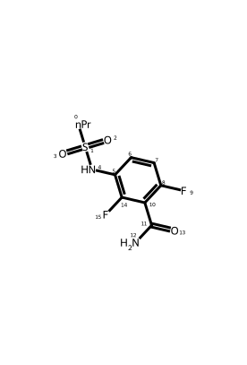 CCCS(=O)(=O)Nc1ccc(F)c(C(N)=O)c1F